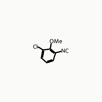 [C-]#[N+]c1cccc(Cl)c1OC